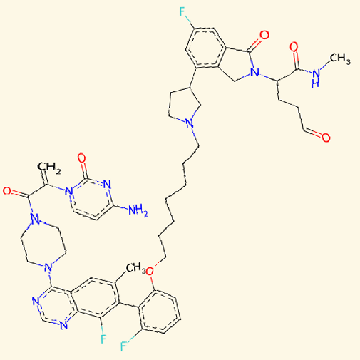 C=C(C(=O)N1CCN(c2ncnc3c(F)c(-c4c(F)cccc4OCCCCCCCN4CCC(c5cc(F)cc6c5CN(C(CCC=O)C(=O)NC)C6=O)C4)c(C)cc23)CC1)n1ccc(N)nc1=O